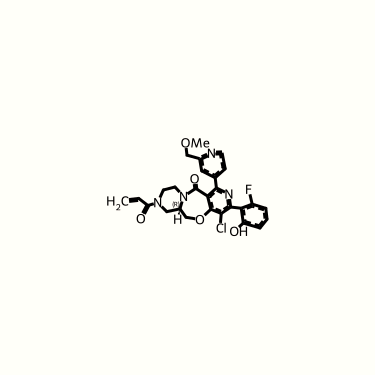 C=CC(=O)N1CCN2C(=O)c3c(-c4ccnc(COC)c4)nc(-c4c(O)cccc4F)c(Cl)c3OC[C@H]2C1